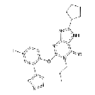 CCCn1c(Oc2ccc(F)cc2-c2ccno2)nc2nc(C3CCCC3)[nH]c2c1=O